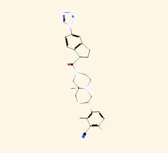 Cc1c([C@@H]2CN3CCN(C(=O)C4CCc5cc(-n6cnnn6)ccc54)C[C@H]3CO2)ccc(Cl)c1C#N